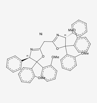 COc1ccccc1C1(c2ccccc2OC)OC(CC2=N[C@H](c3ccccc3)C(c3ccccc3OC)(c3ccccc3OC)O2)=N[C@@H]1c1ccccc1.[Ni]